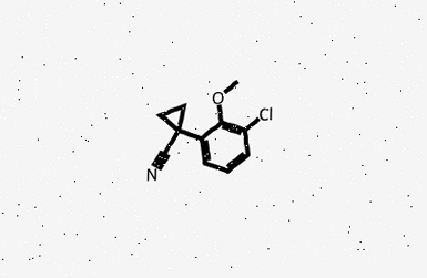 COc1c(Cl)cccc1C1(C#N)CC1